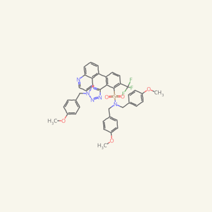 COc1ccc(CN(Cc2ccc(OC)cc2)S(=O)(=O)c2c(C(F)(F)F)ccc(-c3cccc4ncccc34)c2-c2nnn(Cc3ccc(OC)cc3)n2)cc1